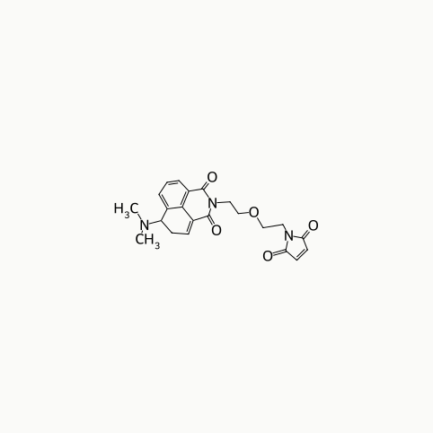 CN(C)C1CC=C2C(=O)N(CCOCCN3C(=O)C=CC3=O)C(=O)c3cccc1c32